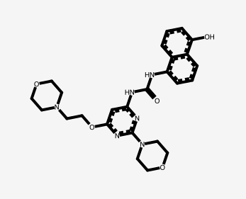 O=C(Nc1cc(OCCN2CCOCC2)nc(N2CCOCC2)n1)Nc1cccc2c(O)cccc12